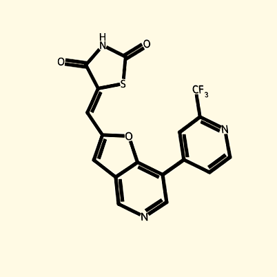 O=C1NC(=O)C(=Cc2cc3cncc(-c4ccnc(C(F)(F)F)c4)c3o2)S1